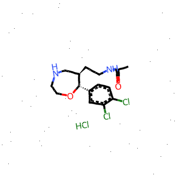 CC(=O)NCC[C@@H]1CNCCO[C@H]1c1ccc(Cl)c(Cl)c1.Cl